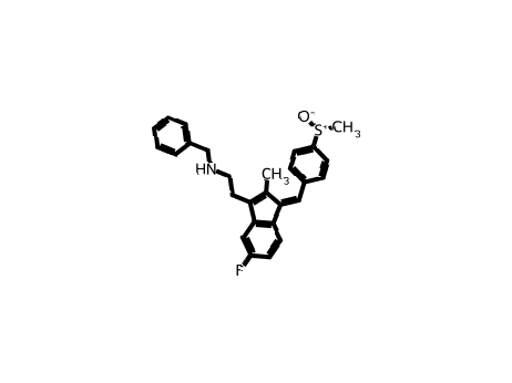 CC1=C(CCNCc2ccccc2)c2cc(F)ccc2C1=Cc1ccc([S+](C)[O-])cc1